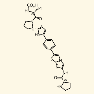 CC(C)[C@H](NC(=O)O)C(=O)N1CCC[C@H]1c1ncc(-c2ccc(-c3cn4cc(NC(=O)[C@@H]5CCCN5)nc4s3)cc2)[nH]1